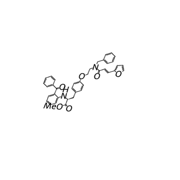 COC(=O)[C@H](Cc1ccc(OCCN(Cc2ccccc2)C(=O)C=Cc2ccco2)cc1)Nc1ccccc1C(=O)c1ccccc1